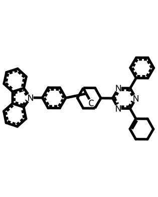 C1=C(c2nc(-c3ccccc3)nc(C3CC4CCC3CC4c3ccc(-n4c5ccccc5c5ccccc54)cc3)n2)CCCC1